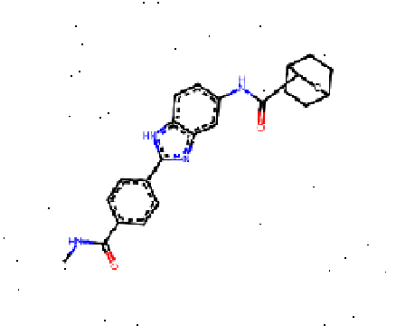 CNC(=O)c1ccc(-c2nc3cc(NC(=O)C4CC5CCC4CC5)ccc3[nH]2)cc1